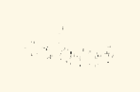 CCCSc1nc(N2CCC(C3(OC(=O)O)CC3)CC2)ccc1C(=O)NC1CCCCC1